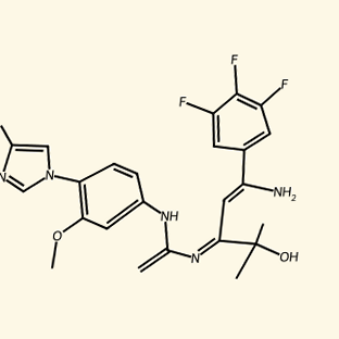 C=C(/N=C(\C=C(/N)c1cc(F)c(F)c(F)c1)C(C)(C)O)Nc1ccc(-n2cnc(C)c2)c(OC)c1